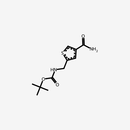 CC(C)(C)OC(=O)NCc1cc(C(N)=O)cs1